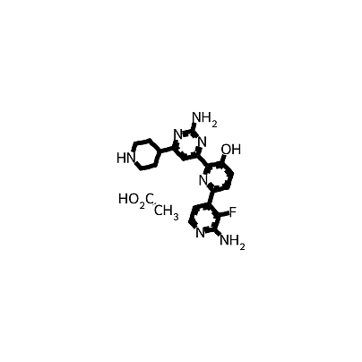 CC(=O)O.Nc1nc(-c2nc(-c3ccnc(N)c3F)ccc2O)cc(C2CCNCC2)n1